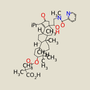 CC(C)C1=C2[C@H]3CC[C@@H]4[C@@]5(C)CC[C@H](OC(=O)CC(C)(C)C(=O)O)C(C)(C)[C@@H]5CC[C@@]4(C)[C@]3(C)CCC2(C(O)CN(C)C(=O)c2ccccn2)CC1=O